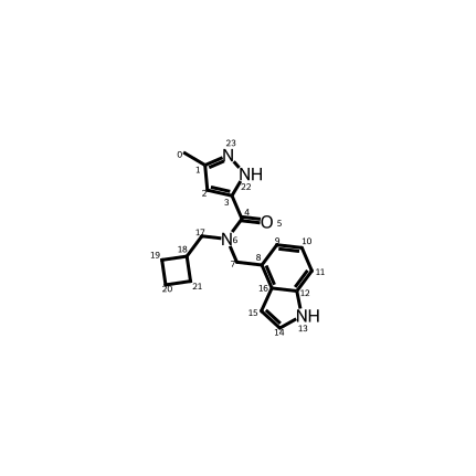 Cc1cc(C(=O)N(Cc2cccc3[nH]ccc23)CC2CCC2)[nH]n1